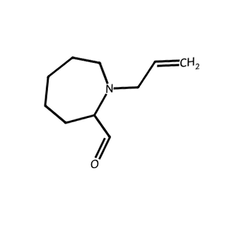 C=CCN1CCCCCC1C=O